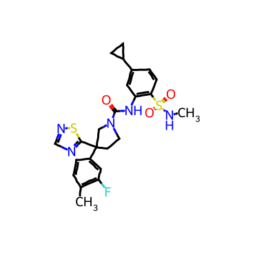 CNS(=O)(=O)c1ccc(C2CC2)cc1NC(=O)N1CCC(c2ccc(C)c(F)c2)(c2ncns2)C1